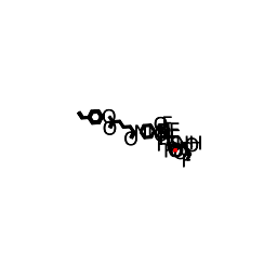 C=Cc1ccc(OC(=O)CCCC(=O)N2CCN(S(=O)(=O)C(F)(F)C(F)(F)C(F)(F)S(=O)(=O)NS(=O)(=O)CF)CC2)cc1